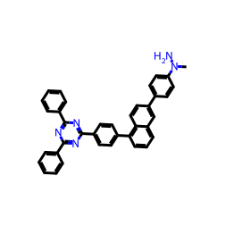 CN(N)c1ccc(-c2ccc3c(-c4ccc(-c5nc(-c6ccccc6)nc(-c6ccccc6)n5)cc4)cccc3c2)cc1